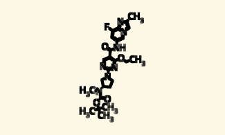 CCOc1nc(N2CC[C@H](N(C)C(=O)OC(C)(C)C)C2)ncc1C(=O)Nc1cc(F)c2nc(C)cn2c1